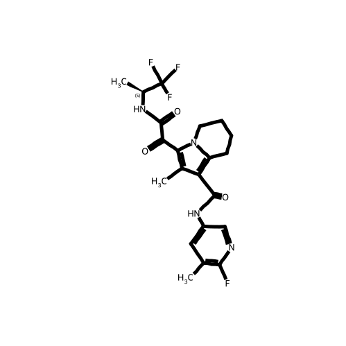 Cc1cc(NC(=O)c2c(C)c(C(=O)C(=O)N[C@@H](C)C(F)(F)F)n3c2CCCC3)cnc1F